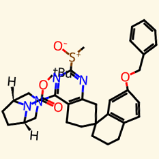 C[S+]([O-])c1nc2c(c(N3C[C@H]4CC[C@@H](C3)N4C(=O)OC(C)(C)C)n1)CCC1(CCCc3ccc(OCc4ccccc4)cc31)C2